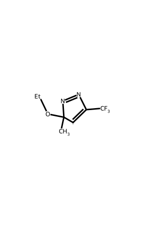 CCOC1(C)[C]=C(C(F)(F)F)N=N1